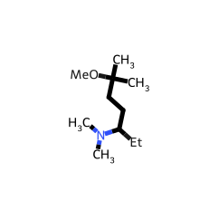 CCC(CCC(C)(C)OC)N(C)C